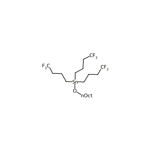 CCCCCCCC[O][Sn]([CH2]CCC(F)(F)F)([CH2]CCC(F)(F)F)[CH2]CCC(F)(F)F